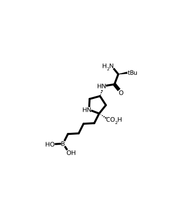 CC(C)(C)[C@H](N)C(=O)N[C@H]1CN[C@@](CCCCB(O)O)(C(=O)O)C1